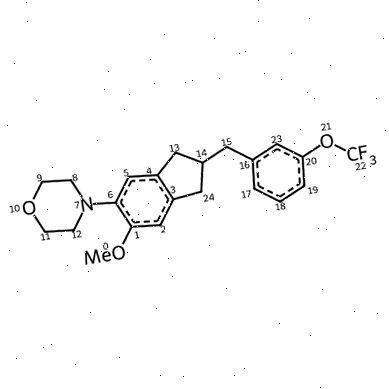 COc1cc2c(cc1N1CCOCC1)CC(Cc1cccc(OC(F)(F)F)c1)C2